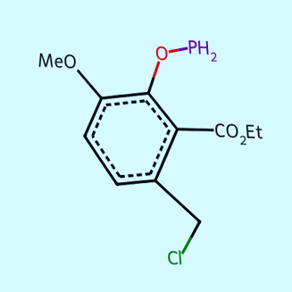 CCOC(=O)c1c(CCl)ccc(OC)c1OP